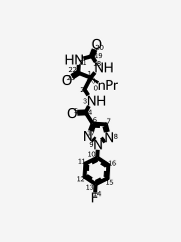 CCC[C@]1(CNC(=O)c2cnn(-c3ccc(F)cc3)n2)NC(=O)NC1=O